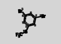 FC(F)(F)Sc1[c]c(Br)cc(Br)c1